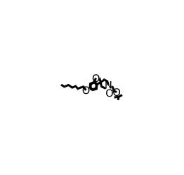 CCCCCCCOc1ccc2c(c1)OCC21CCN(CC(=O)OC(C)(C)C)CC1